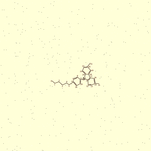 CCCCCCc1ccc(-n2c3ccc(C)cc3c3cc(C)ccc32)cc1